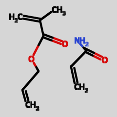 C=CC(N)=O.C=CCOC(=O)C(=C)C